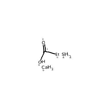 CCC(=O)O.S.[CaH2]